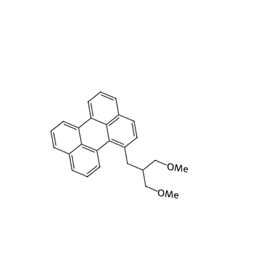 COCC(COC)Cc1ccc2cccc3c4cccc5cccc(c1c23)c54